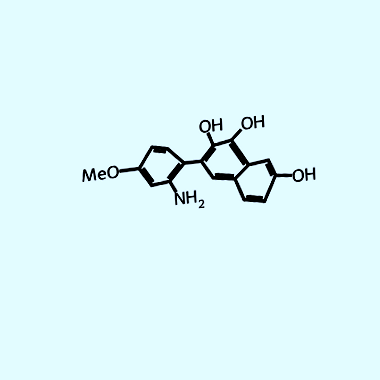 COc1ccc(-c2cc3ccc(O)cc3c(O)c2O)c(N)c1